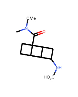 CON(C)C(=O)C12C3C4C1C1C2C3C41NC(=O)O